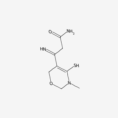 CN1COCC(C(=N)CC(N)=O)=C1S